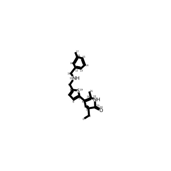 CCc1cc(-c2ccc(CNCc3cccc(C)c3)s2)c(C)[nH]c1=O